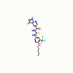 CCCCCOc1ccc(NC(=S)NC(=O)c2cnc3c(c2)c(C)nn3C)cc1C(F)(F)F